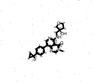 Cn1cnc2c(-c3ccc(C4(F)CC4)cc3)cnc(NC[C@@]3(O)CCOC3)c2c1=O